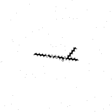 CCCCCCCCOCCOCCOCCCC(=O)OCC(CCCCCC)CCCCCCCC